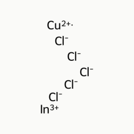 [Cl-].[Cl-].[Cl-].[Cl-].[Cl-].[Cu+2].[In+3]